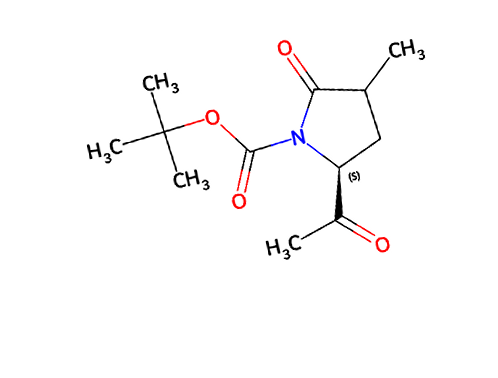 CC(=O)[C@@H]1CC(C)C(=O)N1C(=O)OC(C)(C)C